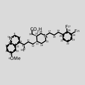 COc1ccc2nccc([C@H](F)CC[C@@H]3CCN(CCCc4cccc(F)c4F)C[C@@H]3CC(=O)O)c2c1